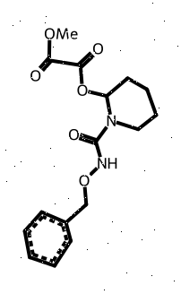 COC(=O)C(=O)OC1CCCCN1C(=O)NOCc1ccccc1